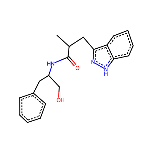 C[C](Cc1n[nH]c2ccccc12)C(=O)NC(CO)Cc1ccccc1